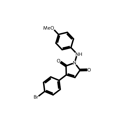 COc1ccc(NN2C(=O)C=C(c3ccc(Br)cc3)C2=O)cc1